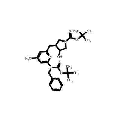 Cc1cc(CC2CN(C(=O)OC(C)(C)C)CC2O)nc(N(Cc2ccccc2)C(=O)OC(C)(C)C)c1